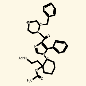 CC(=O)NCCC1(OC(=O)C(F)(F)F)CCCC[C@@H]1n1cnc(C(=O)N2CCNC[C@H]2Cc2ccccc2)c1-c1ccccc1